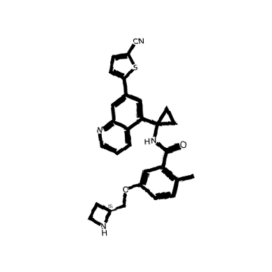 Cc1ccc(OC[C@@H]2CCN2)cc1C(=O)NC1(c2cc(-c3ccc(C#N)s3)cc3ncccc23)CC1